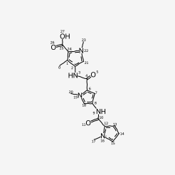 Cc1c(NC(=O)c2cc(NC(=O)c3cccn3C)cn2C)cn(C)c1C(=O)O